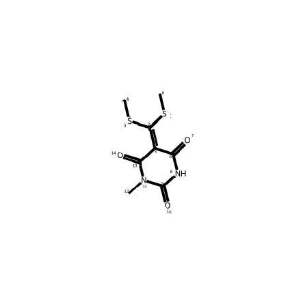 CSC(SC)=C1C(=O)NC(=O)N(C)C1=O